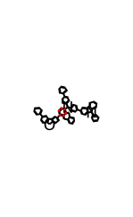 c1ccc(-c2ccc(N(c3ccc(-c4ccc5c(c4)c4ccccc4n5-c4ccccc4)cc3)c3ccc(-c4ccc5oc6ccc(-c7ccccc7)cc6c5c4)c4c3C3c5ccccc5C4c4ccccc43)cc2)cc1